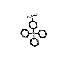 O=[PH2]c1ccc([Si](c2ccccc2)(c2ccccc2)c2ccccc2)cc1